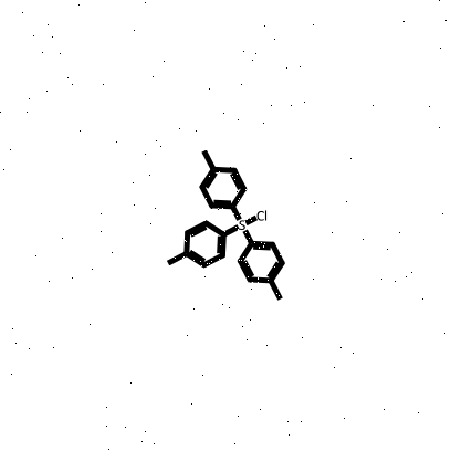 Cc1ccc(S(Cl)(c2ccc(C)cc2)c2ccc(C)cc2)cc1